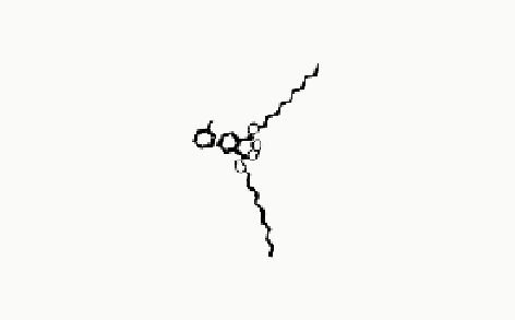 CCCCCCCCCCOC(=O)c1ccccc1C(=O)OCCCCCCCCCC.Cc1ccccc1